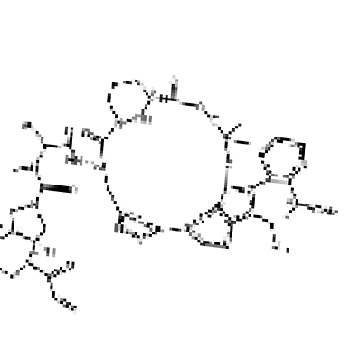 C=CC(=O)N1CCC[C@H]2CN(C(=O)N(C)C(C(=O)N[C@H]3Cc4nnc(o4)-c4ccc5c(c4)c(c(-c4cccnc4[C@H](C)OC)n5CC(F)(F)F)CC(C)(C)COC(=O)[C@@H]4CCCN(N4)C3=O)C(C)C)C[C@H]21